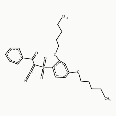 CCCCCOc1ccc(S(=O)(=O)C(=[N+]=[N-])C(=O)c2ccccc2)c(OCCCCC)c1